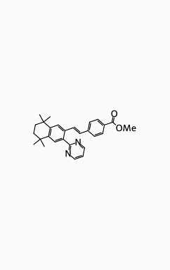 COC(=O)c1ccc(/C=C/c2cc3c(cc2-c2ncccn2)C(C)(C)CCC3(C)C)cc1